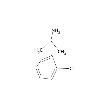 CC(C)N.Clc1ccccc1